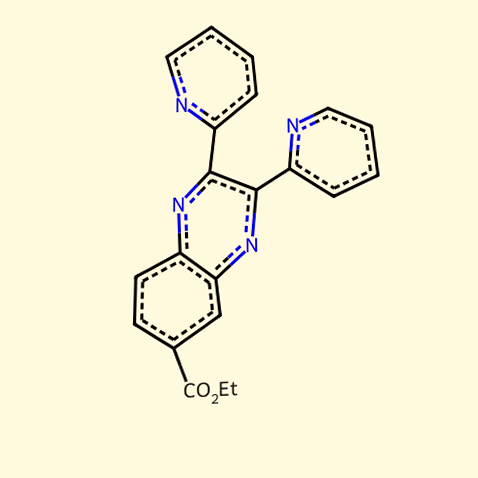 CCOC(=O)c1ccc2nc(-c3ccccn3)c(-c3ccccn3)nc2c1